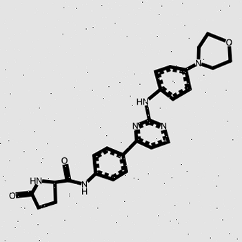 O=C1CCC(C(=O)Nc2ccc(-c3ccnc(Nc4ccc(N5CCOCC5)cc4)n3)cc2)N1